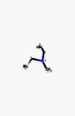 CCCCCN(C)C[C@@H](C)CC